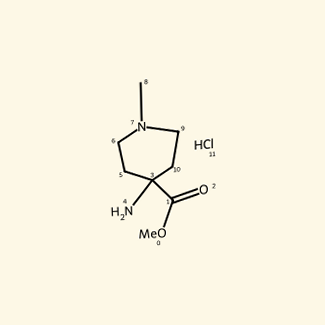 COC(=O)C1(N)CCN(C)CC1.Cl